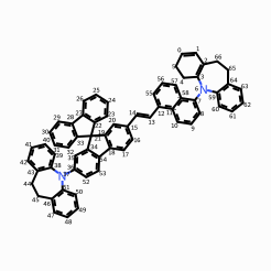 C1=CC2=C(CC1)N(c1cccc3c(/C=C/c4ccc5c(c4)C4(c6ccccc6-c6ccccc64)c4cc(N6c7ccccc7CCc7ccccc76)ccc4-5)cccc13)c1ccccc1CC2